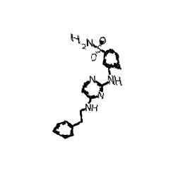 NS(=O)(=O)c1cccc(Nc2nccc(NCCc3ccccc3)n2)c1